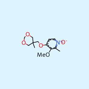 COc1c(OCC2(C)COCOC2)cc[n+]([O-])c1C